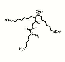 CCCCCCCCCCCCCCCC[C@@H]([C]=O)N(CCCCCCCCCCCCCCCC)C(=O)CNC(=O)[C@@H](N)CCCCN